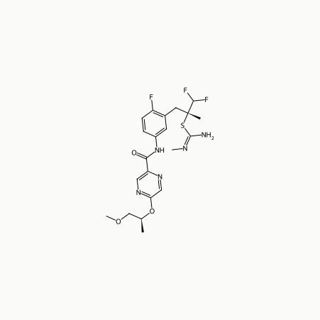 C/N=C(/N)S[C@](C)(Cc1cc(NC(=O)c2cnc(O[C@@H](C)COC)cn2)ccc1F)C(F)F